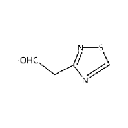 O=[C]Cc1ncsn1